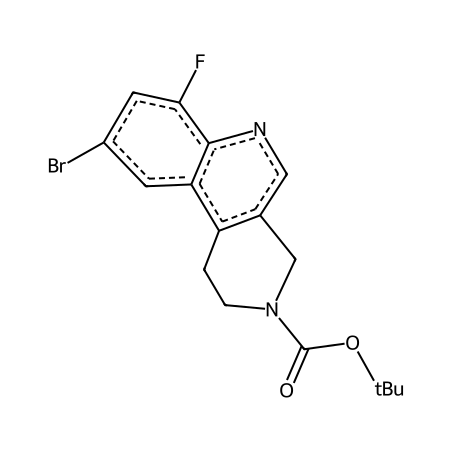 CC(C)(C)OC(=O)N1CCc2c(cnc3c(F)cc(Br)cc23)C1